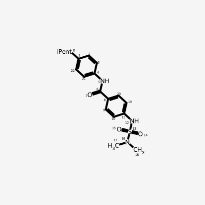 CCCC(C)c1ccc(NC(=O)c2ccc(NS(=O)(=O)N(C)C)cc2)cc1